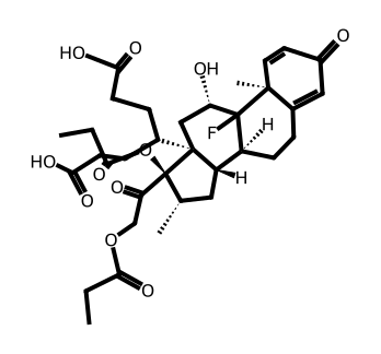 CCC(=O)OCC(=O)[C@@]1(OC(=O)CC)[C@@H](C)C[C@H]2[C@@H]3CCC4=CC(=O)C=C[C@]4(C)C3(F)[C@@H](O)C[C@@]21C(CCC(=O)O)CCC(=O)O